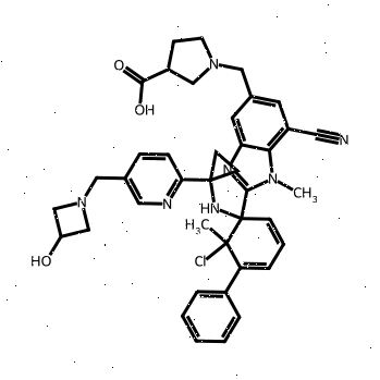 Cn1c(C2(NC3(c4ccc(CN5CC(O)C5)cn4)CC3)C=CC=C(c3ccccc3)C2(C)Cl)nc2cc(CN3CCC(C(=O)O)C3)cc(C#N)c21